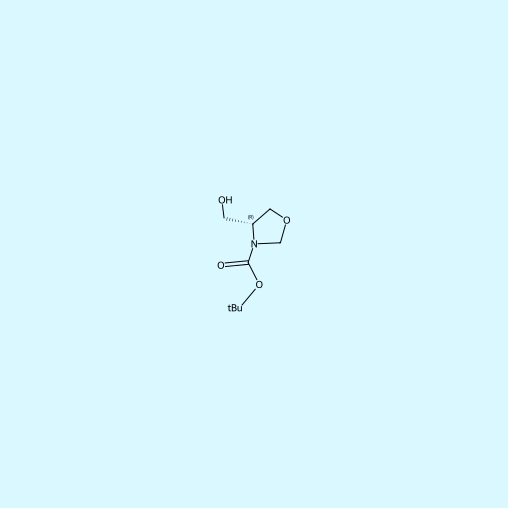 CC(C)(C)OC(=O)N1COC[C@H]1CO